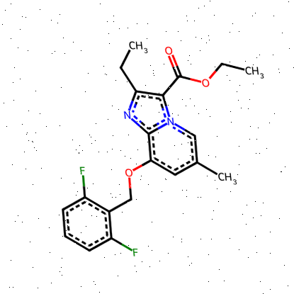 CCOC(=O)c1c(CC)nc2c(OCc3c(F)cccc3F)cc(C)cn12